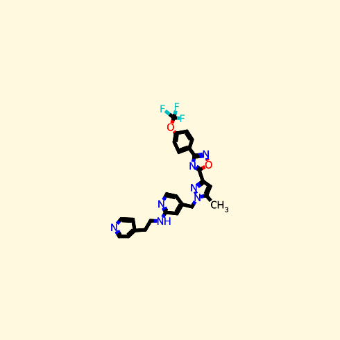 Cc1cc(-c2nc(-c3ccc(OC(F)(F)F)cc3)no2)nn1Cc1ccnc(NCCc2ccncc2)c1